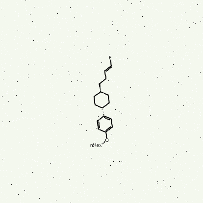 CCCCCCOc1ccc([C@H]2CC[C@H](CCC=CF)CC2)cc1